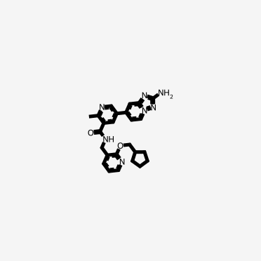 Cc1ncc(-c2ccn3nc(N)nc3c2)cc1C(=O)NCc1cccnc1OCC1CCCC1